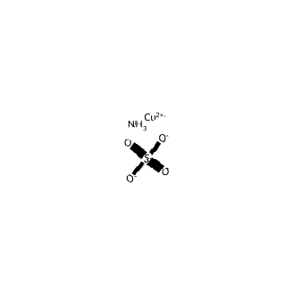 N.O=S(=O)([O-])[O-].[Cu+2]